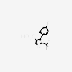 O=C(O)c1cnn(C(F)F)c1-c1ccc(F)cc1